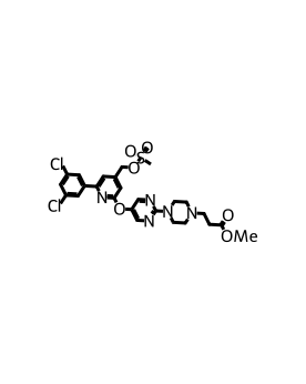 COC(=O)CCN1CCN(c2ncc(Oc3cc(COS(C)(=O)=O)cc(-c4cc(Cl)cc(Cl)c4)n3)cn2)CC1